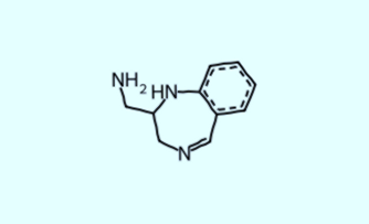 NCC1CN=Cc2ccccc2N1